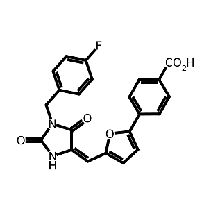 O=C(O)c1ccc(-c2ccc(C=C3NC(=O)N(Cc4ccc(F)cc4)C3=O)o2)cc1